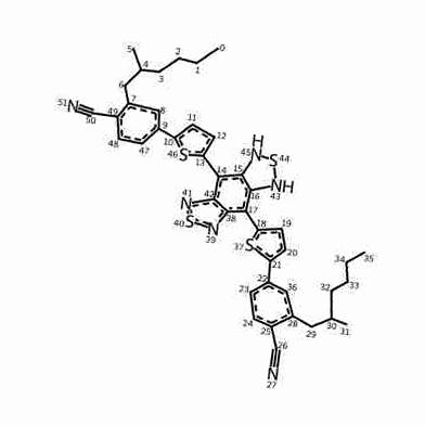 CCCCC(C)Cc1cc(-c2ccc(-c3c4c(c(-c5ccc(-c6ccc(C#N)c(CC(C)CCCC)c6)s5)c5nsnc35)NSN4)s2)ccc1C#N